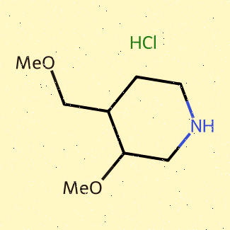 COCC1CCNCC1OC.Cl